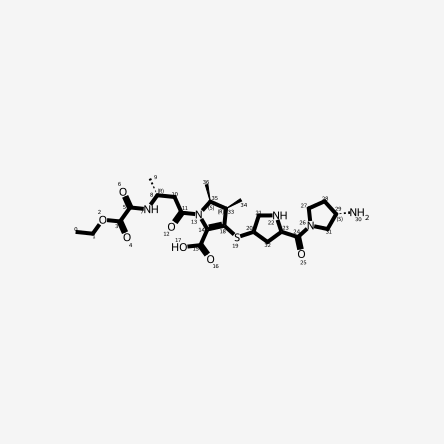 CCOC(=O)C(=O)N[C@H](C)CC(=O)N1C(C(=O)O)=C(SC2CNC(C(=O)N3CC[C@H](N)C3)C2)[C@H](C)[C@@H]1C